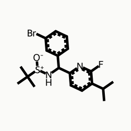 CC(C)c1ccc(C(N[S+]([O-])C(C)(C)C)c2cccc(Br)c2)nc1F